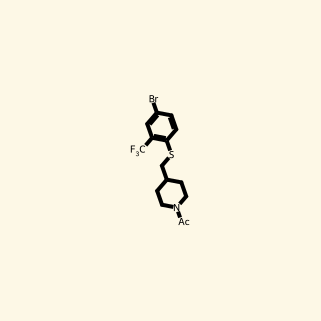 CC(=O)N1CCC(CSc2ccc(Br)cc2C(F)(F)F)CC1